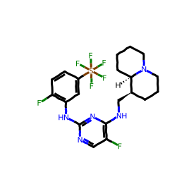 Fc1ccc(S(F)(F)(F)(F)F)cc1Nc1ncc(F)c(NC[C@@H]2CCCN3CCCC[C@H]23)n1